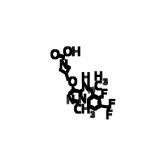 Cc1ncc(OCC2CN(C(=O)O)C2)c(N[C@H](C)c2cccc(C(F)F)c2F)n1